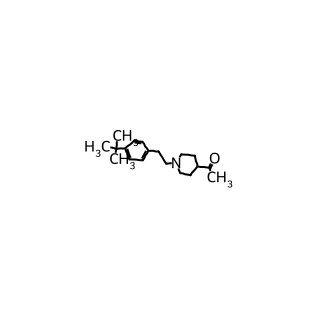 CC(=O)C1CCN(CCc2ccc(C(C)(C)C)cc2)CC1